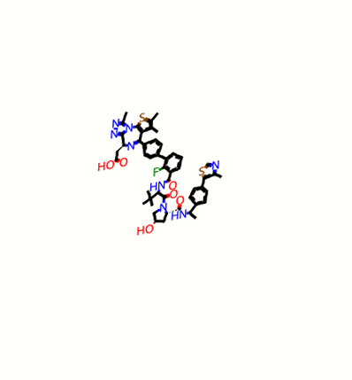 Cc1ncsc1-c1ccc(C(C)NC(=O)[C@@H]2C[C@@H](O)CN2C(=O)C(NC(=O)c2cccc(-c3ccc(C4=N[C@@H](CC(=O)O)c5nnc(C)n5-c5sc(C)c(C)c54)cc3)c2F)C(C)(C)C)cc1